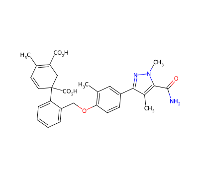 CC1=C(C(=O)O)CC(C(=O)O)(c2ccccc2COc2ccc(-c3nn(C)c(C(N)=O)c3C)cc2C)C=C1